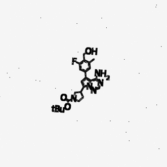 Cc1cc(-c2cc(C3CCN(C(=O)OC(C)(C)C)C3)n3ncnc(N)c23)cc(F)c1CO